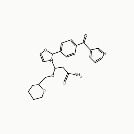 NC(=O)CC(OCC1CCCCO1)N1C=COC1c1ccc(C(=O)c2cccnc2)cc1